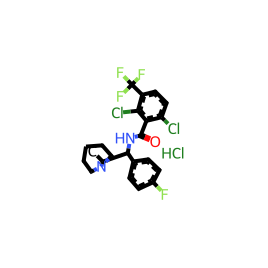 Cl.O=C(NC(c1ccc(F)cc1)C1CC2CCN1CC2)c1c(Cl)ccc(C(F)(F)F)c1Cl